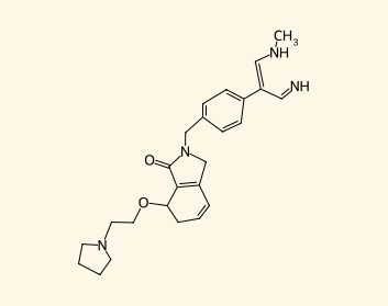 CN/C=C(\C=N)c1ccc(CN2CC3=C(C2=O)C(OCCN2CCCC2)CC=C3)cc1